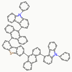 c1ccc(-n2c3ccccc3c3c(-c4cccc5c(-c6ccc7c(c6)sc6cccc(-c8c9ccccc9c(-c9cccc%10c9c9ccccc9n%10-c9ccccc9)c9ccccc89)c67)c6ccccc6cc45)cccc32)cc1